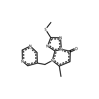 CSc1nc2n(Cc3cncnc3)c(C)cc(=O)n2n1